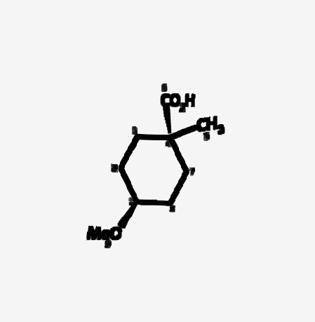 CO[C@H]1CC[C@](C)(C(=O)O)CC1